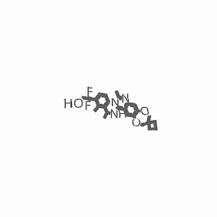 Cc1nc(NC(C)c2cccc(C(F)(F)CO)c2C)c2cc3c(cc2n1)OCC1(CCC1)CO3